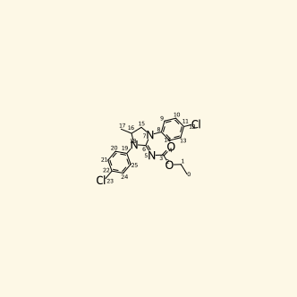 CCOC(=O)N=C1N(c2ccc(Cl)cc2)CC(C)N1c1ccc(Cl)cc1